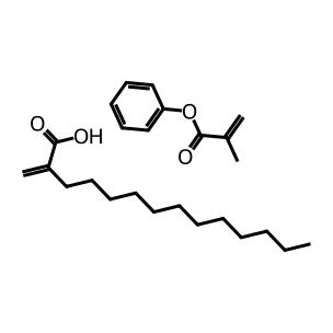 C=C(C)C(=O)Oc1ccccc1.C=C(CCCCCCCCCCCC)C(=O)O